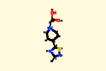 Cc1nsc(-c2cc[n+](CC(=O)O)cc2)n1